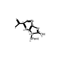 C=C(C)c1cnc2nc(O)n(CCCCC)c2n1